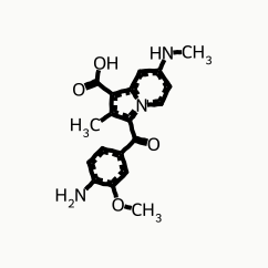 CNc1ccn2c(C(=O)c3ccc(N)c(OC)c3)c(C)c(C(=O)O)c2c1